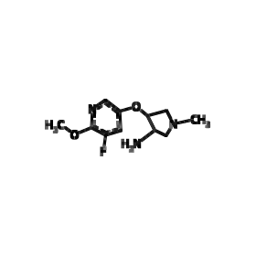 COc1ncc(OC2CN(C)CC2N)cc1F